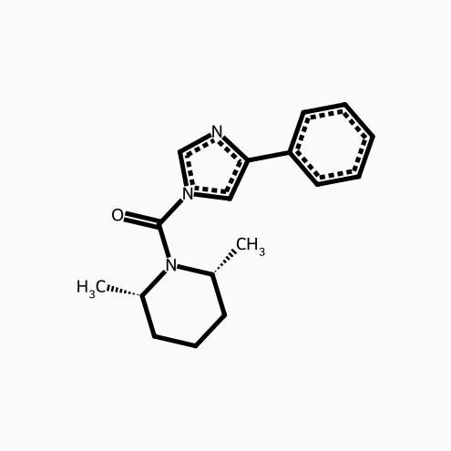 C[C@@H]1CCC[C@H](C)N1C(=O)n1cnc(-c2ccccc2)c1